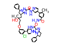 Cc1ccc(C(N)=O)cc1-c1ccnc(NC(=O)c2nc3n(n2)C(c2ccccc2)CC3CC(C)(O)CCCOc2ccc(Cl)c(-c3ccnc(NC(=O)c4nc5n(n4)C(c4ccccc4)CC5)c3)c2)c1